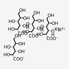 O=C([O-])[C@H](O)[C@@H](O)[C@H](O)[C@H](O)CO.O=C([O-])[C@H](O)[C@@H](O)[C@H](O)[C@H](O)CO.O=C([O-])[C@H](O)[C@@H](O)[C@H](O)[C@H](O)CO.O=C([O-])[C@H](O)[C@@H](O)[C@H](O)[C@H](O)CO.[Bi+3].[K+]